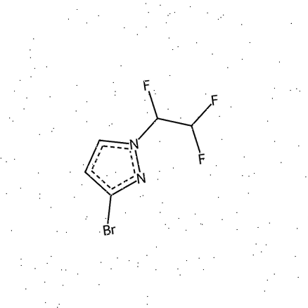 FC(F)C(F)n1ccc(Br)n1